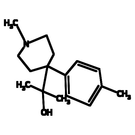 Cc1ccc(C2(C(C)(C)O)CCN(C)CC2)cc1